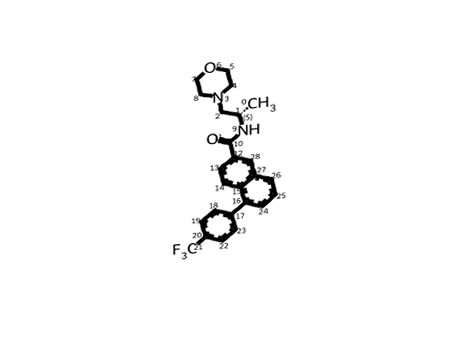 C[C@@H](CN1CCOCC1)NC(=O)c1ccc2c(-c3ccc(C(F)(F)F)cc3)cccc2c1